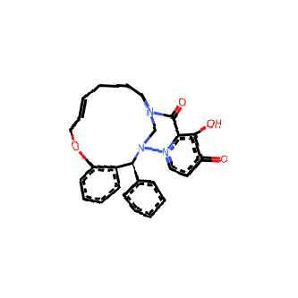 O=C1c2c(O)c(=O)ccn2N2CN1CCC/C=C/COc1ccccc1[C@@H]2c1ccccc1